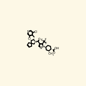 C[C@@H]1C[C@@H](n2ncc(C(=O)N3CC4(CC=CC4)C[C@@H]3Cc3c(Cl)cncc3Cl)c2C(F)(F)F)CC[C@@H]1C(=O)O